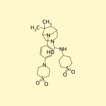 CC1(C)CC2CN(C(O)NC3CCS(=O)(=O)CC3)CC1N(c1ccc(N3CCS(=O)(=O)CC3)cc1)C2